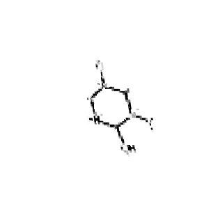 OC1NCN(Cl)CN1Cl